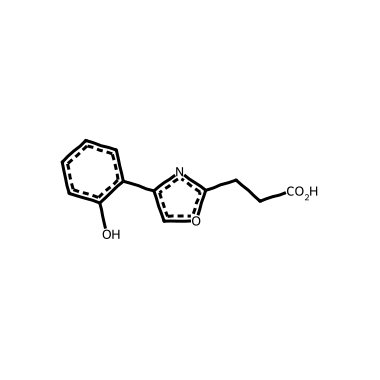 O=C(O)CCc1nc(-c2ccccc2O)co1